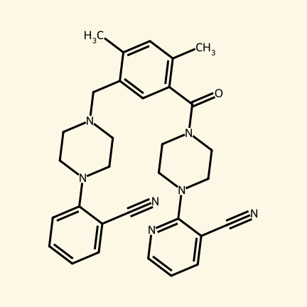 Cc1cc(C)c(C(=O)N2CCN(c3ncccc3C#N)CC2)cc1CN1CCN(c2ccccc2C#N)CC1